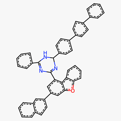 c1ccc(C2=NC(c3cc(-c4ccc5ccccc5c4)cc4oc5ccccc5c34)=NC(c3ccc(-c4ccc(-c5ccccc5)cc4)cc3)N2)cc1